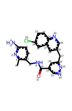 Cc1nc(N)ccc1CNC(=O)c1cnnc(Cc2cnc3ccc(Cl)cc3c2)c1